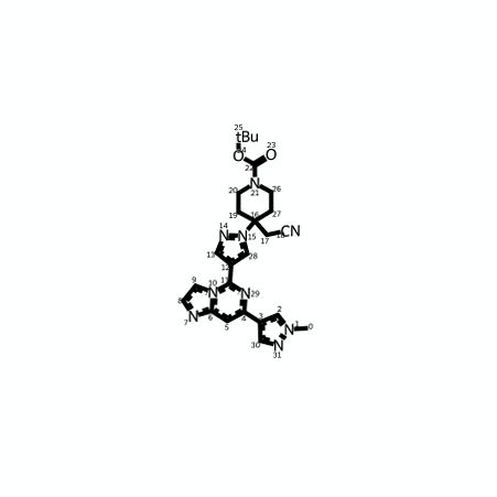 Cn1cc(-c2cc3nccn3c(-c3cnn(C4(CC#N)CCN(C(=O)OC(C)(C)C)CC4)c3)n2)cn1